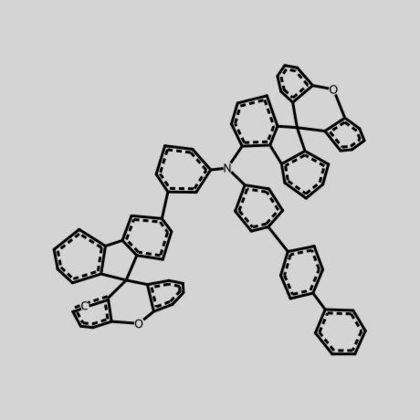 c1ccc(-c2ccc(-c3ccc(N(c4cccc(-c5ccc6c(c5)-c5ccccc5C65c6ccccc6Oc6ccccc65)c4)c4cccc5c4-c4ccccc4C54c5ccccc5Oc5ccccc54)cc3)cc2)cc1